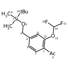 CC(=O)c1ccc(CO[Si](C)(C)C(C)(C)C)cc1OC(F)F